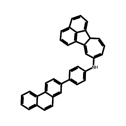 C1=CC2C(=CC(Nc3ccc(-c4ccc5c(ccc6ccccc65)c4)cc3)=C1)c1cccc3cccc2c13